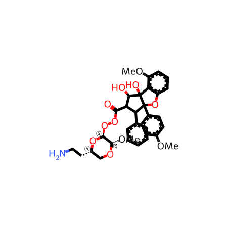 COc1ccc(C23Oc4cccc(OC)c4C2(O)C(O)C(C(=O)OO[C@@H]2O[C@@H](CCN)CO[C@H]2OC)C3c2ccccc2)cc1